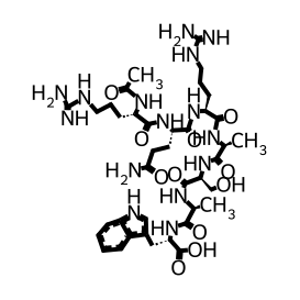 CC(=O)N[C@@H](CCCNC(=N)N)C(=O)N[C@@H](CCC(N)=O)C(=O)N[C@@H](CCCNC(=N)N)C(=O)N[C@@H](C)C(=O)N[C@@H](CO)C(=O)N[C@@H](C)C(=O)N[C@@H](Cc1c[nH]c2ccccc12)C(=O)O